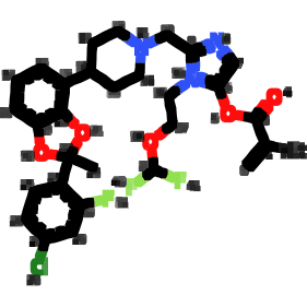 C=C(CC)C(=O)Oc1cnc(CN2CCC(c3cccc4c3OC(C)(c3ccc(Cl)cc3F)O4)CC2)n1CCOC(F)F